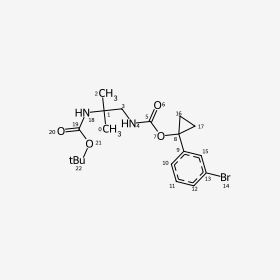 CC(C)(CNC(=O)OC1(c2cccc(Br)c2)CC1)NC(=O)OC(C)(C)C